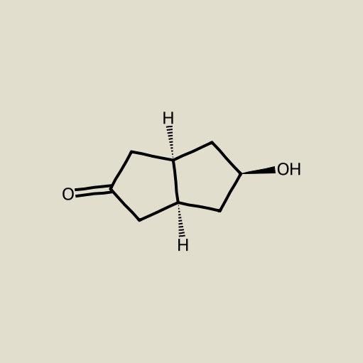 O=C1C[C@@H]2C[C@H](O)C[C@@H]2C1